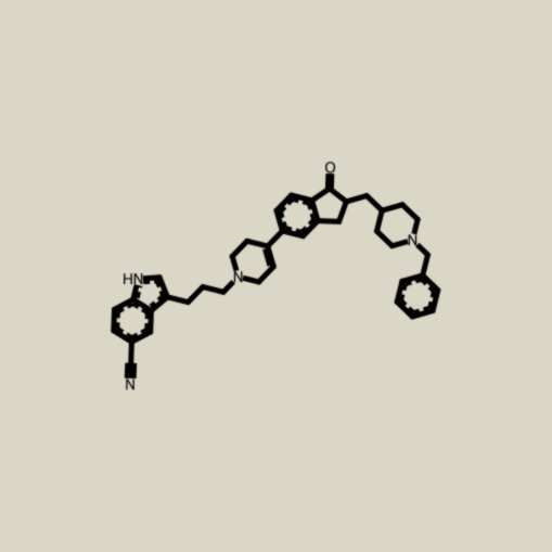 N#Cc1ccc2[nH]cc(CCCN3CC=C(c4ccc5c(c4)CC(CC4CCN(Cc6ccccc6)CC4)C5=O)CC3)c2c1